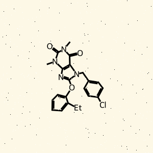 CCc1ccccc1Oc1nc2c(c(=O)n(C)c(=O)n2C)n1Cc1ccc(Cl)cc1